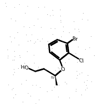 C[C@@H](CCO)Oc1cccc(Br)c1Cl